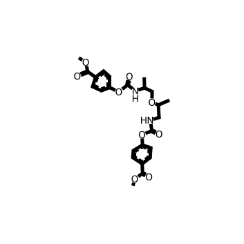 COC(=O)c1ccc(OC(=O)NCC(C)OCC(C)NC(=O)Oc2ccc(C(=O)OC)cc2)cc1